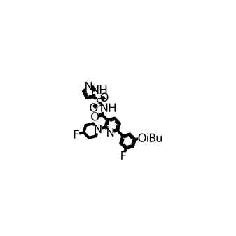 CC(C)COc1cc(F)cc(-c2ccc(C(=O)NS(=O)(=O)c3ccn[nH]3)c(N3CCC(F)CC3)n2)c1